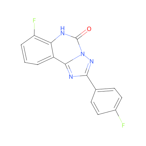 O=c1[nH]c2c(F)cccc2c2nc(-c3ccc(F)cc3)nn12